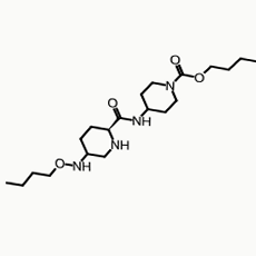 CCCCONC1CC[C@@H](C(=O)NC2CCN(C(=O)OCCCC)CC2)NC1